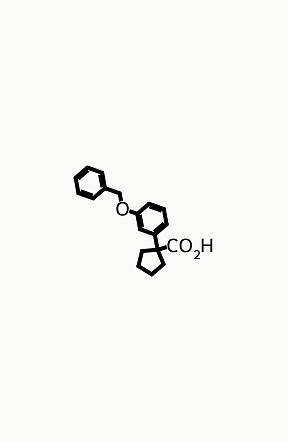 O=C(O)C1(c2cccc(OCc3ccccc3)c2)CCCC1